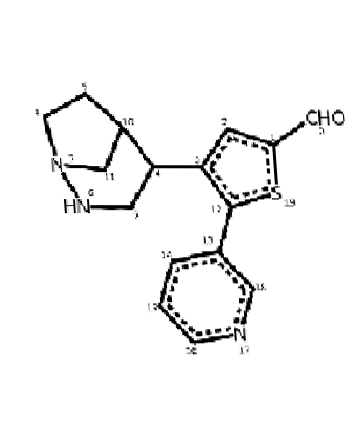 O=Cc1cc(C2CNN3CCC2C3)c(-c2cccnc2)s1